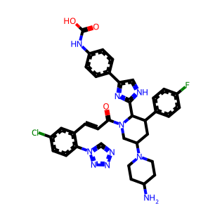 NC1CCN(C2CC(c3ccc(F)cc3)C(c3nc(-c4ccc(NC(=O)O)cc4)c[nH]3)N(C(=O)C=Cc3cc(Cl)ccc3-n3cnnn3)C2)CC1